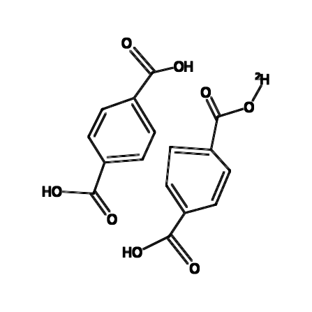 O=C(O)c1ccc(C(=O)O)cc1.[2H]OC(=O)c1ccc(C(=O)O)cc1